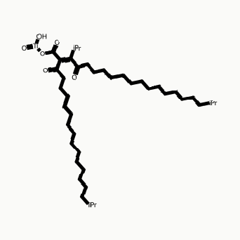 CC(C)CCCCCCCCCCCCCCC(=O)C(C(=O)[O][Ti](=[O])[OH])=C(C(=O)CCCCCCCCCCCCCCC(C)C)C(C)C